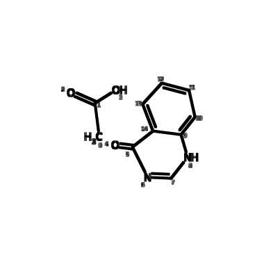 CC(=O)O.O=c1nc[nH]c2ccccc12